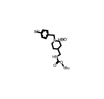 [B+2]c1ccc(CN2CCC(CNC(=O)OC(C)(C)C)CC2)cc1.[OH-].[OH-]